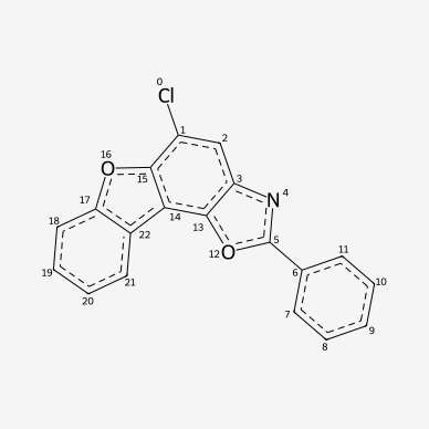 Clc1cc2nc(-c3ccccc3)oc2c2c1oc1ccccc12